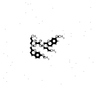 CCCCN(CC1CCc2ccc(OC)cc2O1)OC(=O)C(=O)ON(CCCC)CC1CCc2ccc(OC)cc2O1